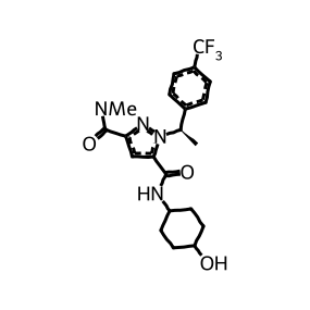 CNC(=O)c1cc(C(=O)NC2CCC(O)CC2)n([C@H](C)c2ccc(C(F)(F)F)cc2)n1